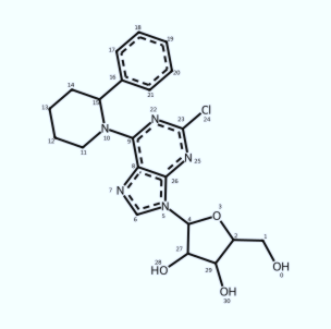 OCC1OC(n2cnc3c(N4CCCCC4c4ccccc4)nc(Cl)nc32)C(O)C1O